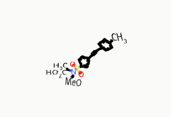 COCN([C@H](C)C(=O)O)S(=O)(=O)c1ccc(C#Cc2ccc(C)cc2)cc1